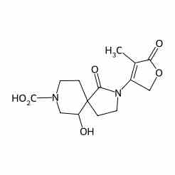 CC1=C(N2CCC3(CCN(C(=O)O)CC3O)C2=O)COC1=O